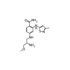 COCC(N)CNc1ccc(C(N)=O)c(Nc2cc(C)ns2)c1